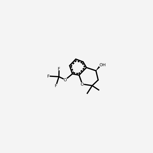 CC1(C)C[C@H](O)c2cccc(OC(F)(F)F)c2O1